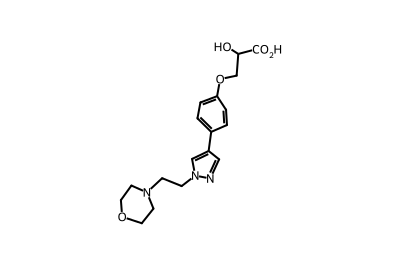 O=C(O)C(O)COc1ccc(-c2cnn(CCN3CCOCC3)c2)cc1